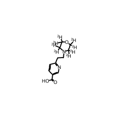 [2H]C1([2H])OC([2H])([2H])C([2H])([2H])N(CCc2ccc(C(=O)O)cn2)C1([2H])[2H]